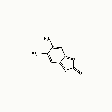 CCOC(=O)c1cc2c(cc1N)=NC(=O)N=2